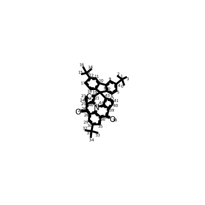 CC(C)(C)c1ccc2c(c1)-c1cc(C(C)(C)C)ccc1C21c2cccc3c(=O)c4cc(C(C)(C)C)cc5c(=O)c6cccc1c6n(c23)c45